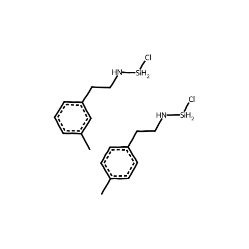 Cc1ccc(CCN[SiH2]Cl)cc1.Cc1cccc(CCN[SiH2]Cl)c1